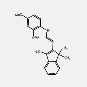 COc1ccc(N/C=C/C2=C(C)c3ccccc3C2(C)C)c(OC)c1